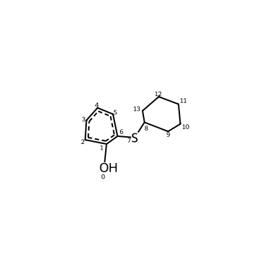 Oc1ccccc1SC1CCCCC1